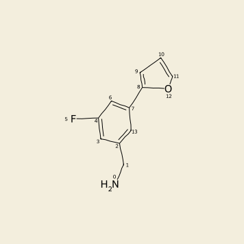 NCc1cc(F)cc(-c2ccco2)c1